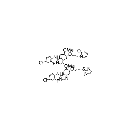 COc1cc2c(Nc3ccc(Cl)cc3F)ncnc2cc1OCCCSc1nccn1C.COc1cc2c(Nc3ccc(Cl)cc3F)ncnc2cc1OCCCn1ccccc1=O